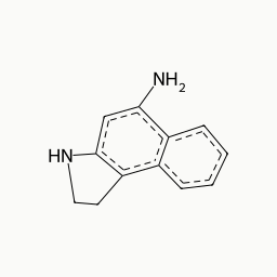 Nc1cc2c(c3ccccc13)CCN2